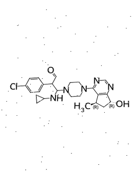 C[C@@H]1C[C@@H](O)c2ncnc(N3CCN(C(NC4CC4)C(C=O)c4ccc(Cl)cc4)CC3)c21